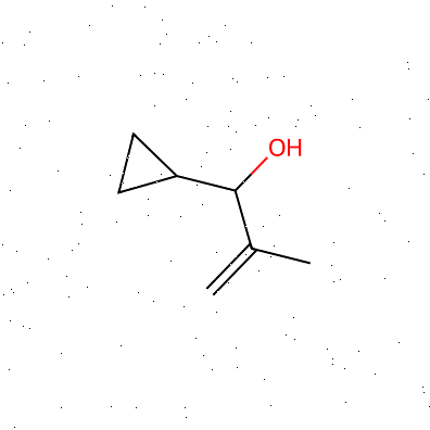 C=C(C)C(O)C1CC1